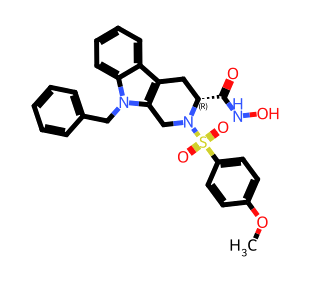 COc1ccc(S(=O)(=O)N2Cc3c(c4ccccc4n3Cc3ccccc3)C[C@@H]2C(=O)NO)cc1